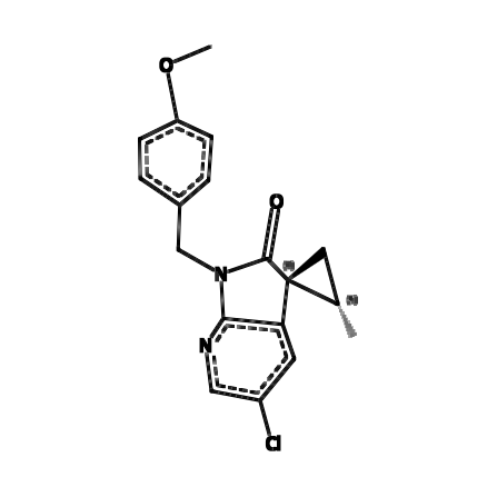 COc1ccc(CN2C(=O)[C@@]3(C[C@@H]3C)c3cc(Cl)cnc32)cc1